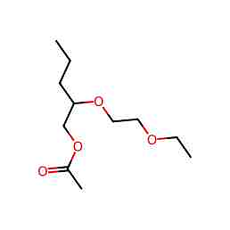 CCCC(COC(C)=O)OCCOCC